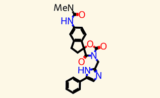 CNC(=O)Nc1ccc2c(c1)CCC21OC(=O)N(Cc2ncc(-c3ccccc3)[nH]2)C1=O